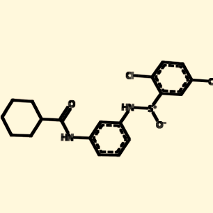 O=C(Nc1cccc(N[S+]([O-])c2cc(Cl)ccc2Cl)c1)C1CCCCC1